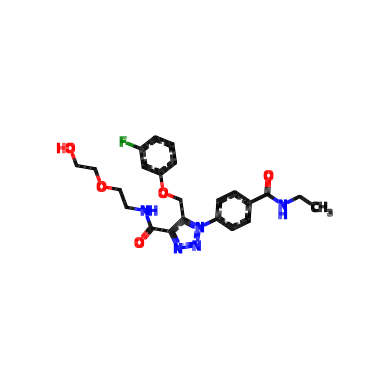 CCNC(=O)c1ccc(-n2nnc(C(=O)NCCOCCO)c2COc2cccc(F)c2)cc1